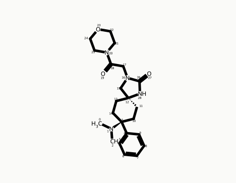 CN(C)[C@]1(c2ccccc2)CC[C@]2(CC1)CN(CC(=O)N1CCOCC1)C(=O)N2